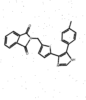 Cc1ccc(-c2[nH]cnc2-c2ccc(CN3C(=O)c4ccccc4C3=O)s2)cc1